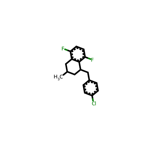 CC1Cc2c(F)ccc(F)c2C(Cc2ccc(Cl)cc2)C1